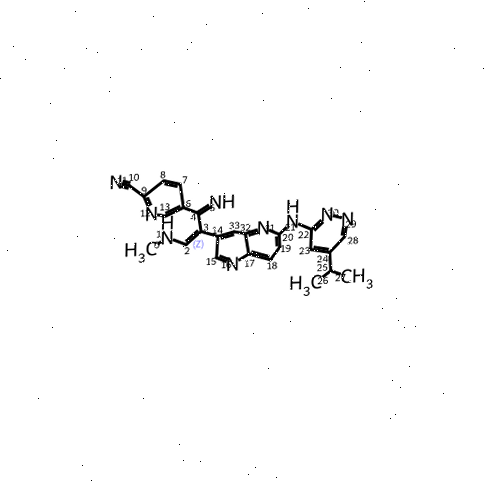 CN/C=C(\C(=N)c1ccc(C#N)nc1)c1cnc2ccc(Nc3cc(C(C)C)cnn3)nc2c1